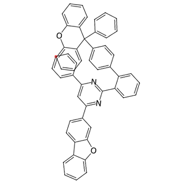 c1ccc(-c2cc(-c3ccc4c(c3)oc3ccccc34)nc(-c3ccccc3-c3ccc(C4(c5ccccc5)c5ccccc5Oc5ccccc54)cc3)n2)cc1